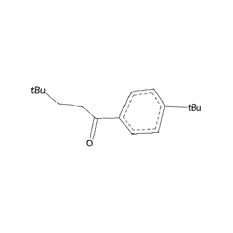 CC(C)(C)CCC(=O)c1ccc(C(C)(C)C)cc1